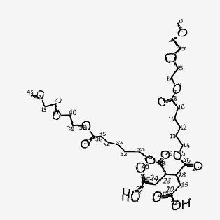 COCCOCCOC(=O)CCCCCOC(=O)C(CC(=O)O)C(CC(=O)O)C(=O)OCCCCCC(=O)OCCOCCOC